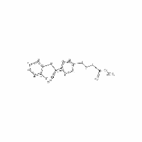 COC(=O)CCCc1ccc(C(=O)Cc2ccccc2F)cc1